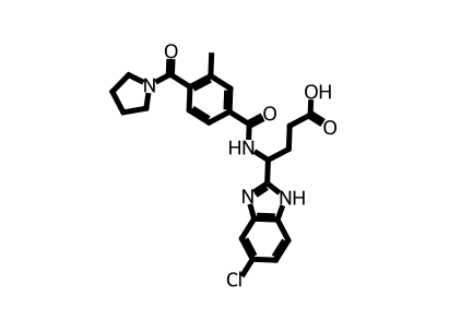 Cc1cc(C(=O)NC(CCC(=O)O)c2nc3cc(Cl)ccc3[nH]2)ccc1C(=O)N1CCCC1